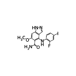 COc1cc2[nH]ncc2c(Nc2ccc(I)cc2F)c1C(N)=O